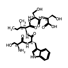 CC[C@H](C)[C@H](NC(=O)[C@H](Cc1c[nH]c2ccccc12)NC(=O)[C@@H](N)CO)C(=O)N[C@@H](CO)C(=O)N[C@@H](CO)C(=O)O